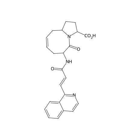 O=C(C=Cc1nccc2ccccc12)NC1CC=CCC2CCC(C(=O)O)N2C1=O